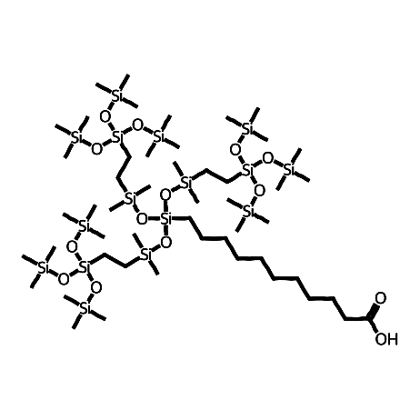 C[Si](C)(C)O[Si](CC[Si](C)(C)O[Si](CCCCCCCCCCC(=O)O)(O[Si](C)(C)CC[Si](O[Si](C)(C)C)(O[Si](C)(C)C)O[Si](C)(C)C)O[Si](C)(C)CC[Si](O[Si](C)(C)C)(O[Si](C)(C)C)O[Si](C)(C)C)(O[Si](C)(C)C)O[Si](C)(C)C